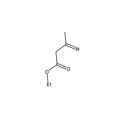 CCOC(=O)CC(C)=[N]